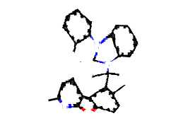 Cc1ccc2c(n1)oc1ccc(C)c(C(C)(C)N3c4ccccc4N(c4ccccc4C)[C@H]3C)c12